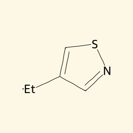 C[CH]c1cnsc1